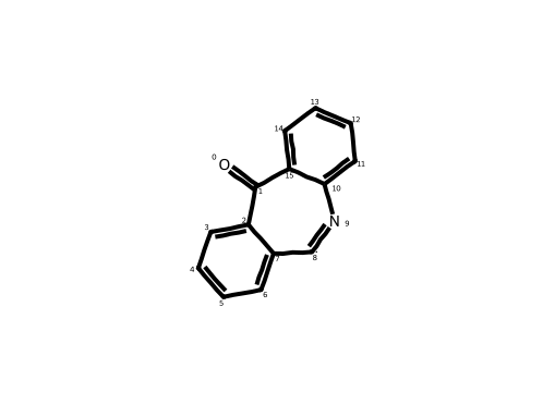 O=c1c2ccccc2[c]nc2ccccc12